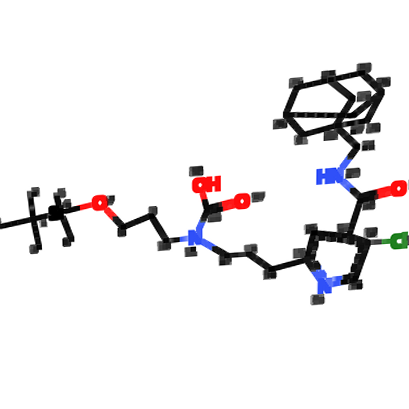 CC(C)(C)[Si](C)(C)OCCCN(CCCc1cc(C(=O)NCC23CC4CC(CC(C4)C2)C3)c(Cl)cn1)C(=O)O